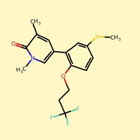 CSc1ccc(OCCC(F)(F)F)c(-c2cc(C)c(=O)n(C)c2)c1